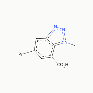 CC(C)c1cc(C(=O)O)c2c(c1)nnn2C